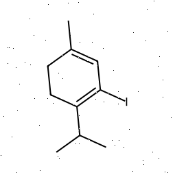 CC1=CC(I)=C(C(C)C)CC1